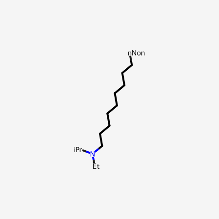 CCCCCCCCCCCCCCCCCCN(CC)C(C)C